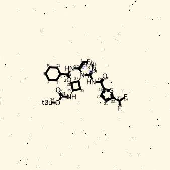 CC/C=C(/NC(=O)C1CCCCC1)N(/C(=N\C)NC(=O)c1ccc(C(F)F)s1)[C@H]1C[C@@H](NC(=O)OC(C)(C)C)C1